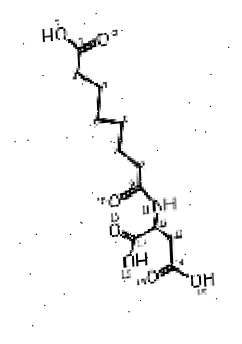 O=C(O)CCCCCCC(=O)N[C@@H](CC(=O)O)C(=O)O